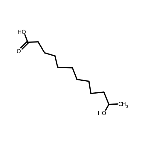 CC(O)CCCCCCCCCC(=O)O